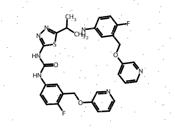 CC(C)c1nnc(NC(=O)Nc2ccc(F)c(COc3cccnc3)c2)s1.Nc1ccc(F)c(COc2cccnc2)c1